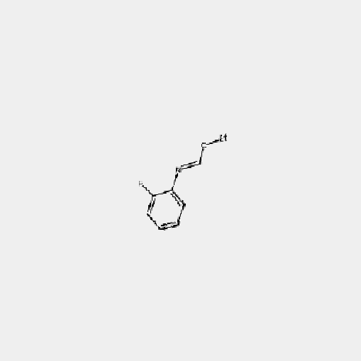 CCOC=Nc1ccccc1F